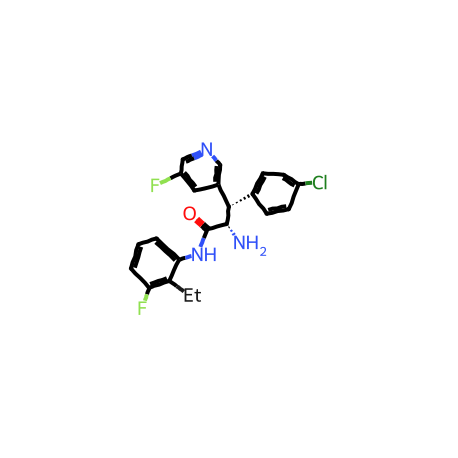 CCc1c(F)cccc1NC(=O)[C@@H](N)[C@@H](c1ccc(Cl)cc1)c1cncc(F)c1